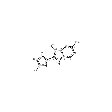 Cc1nc(-c2[nH]c3ccc(F)cc3c2Cl)no1